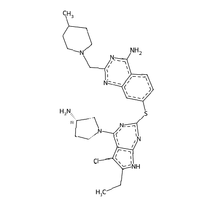 CCc1[nH]c2nc(Sc3ccc4c(N)nc(CN5CCC(C)CC5)nc4c3)nc(N3CC[C@H](N)C3)c2c1Cl